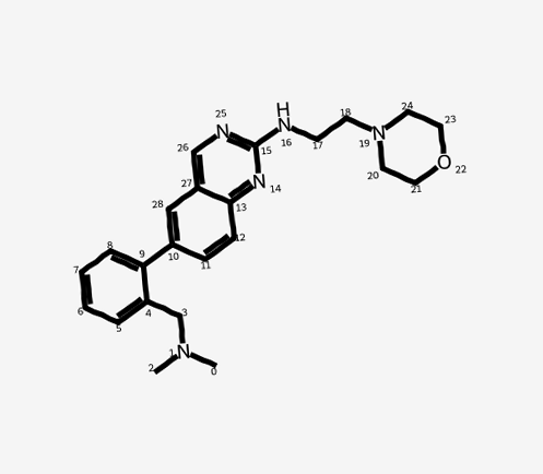 CN(C)Cc1ccccc1-c1ccc2nc(NCCN3CCOCC3)ncc2c1